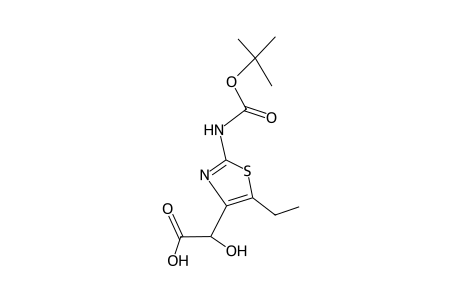 CCc1sc(NC(=O)OC(C)(C)C)nc1C(O)C(=O)O